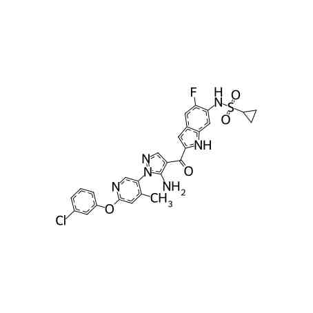 Cc1cc(Oc2cccc(Cl)c2)ncc1-n1ncc(C(=O)c2cc3cc(F)c(NS(=O)(=O)C4CC4)cc3[nH]2)c1N